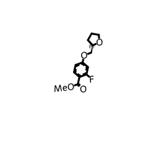 COC(=O)c1ccc(OC[C@H]2CCCO2)cc1F